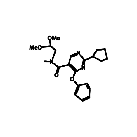 COC(CN(C)C(=O)c1cnc(C2CCCC2)nc1Oc1ccccc1)OC